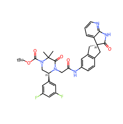 CC(C)(C)OC(=O)N1C[C@H](c2cc(F)cc(F)c2)N(CC(=O)Nc2ccc3c(c2)C[C@@]2(C3)C(=O)Nc3ncccc32)C(=O)C1(C)C